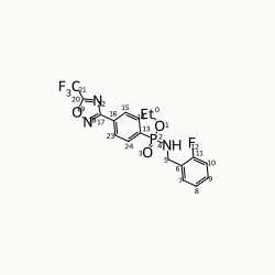 CCOP(=O)(NCc1ccccc1F)c1ccc(-c2noc(C(F)(F)F)n2)cc1